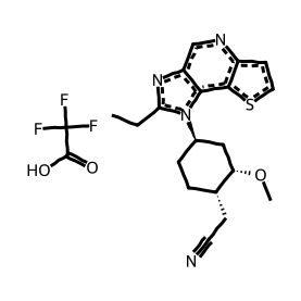 CCc1nc2cnc3ccsc3c2n1[C@@H]1CC[C@@H](CC#N)[C@@H](OC)C1.O=C(O)C(F)(F)F